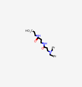 CC(C)CN(CCC(=O)NCCC(=O)NCCC(=O)O)CC(C)C